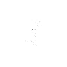 N[C@@H]1c2ccccc2OC12CCN(c1ncc(Sc3cccc(Cl)c3Cl)[nH]c1=O)CC2